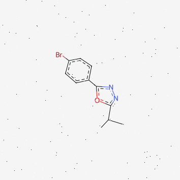 CC(C)c1nnc(-c2ccc(Br)cc2)o1